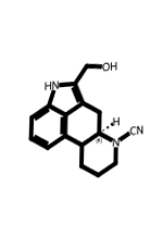 N#CN1CCCC2c3cccc4[nH]c(CO)c(c34)C[C@H]21